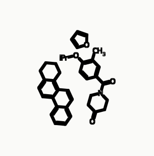 Cc1cc(C(=O)N2CCC(=O)CC2)ccc1OC(C)C.c1ccc2c(c1)ccc1c3c(ccc12)CCCC3.c1ccoc1